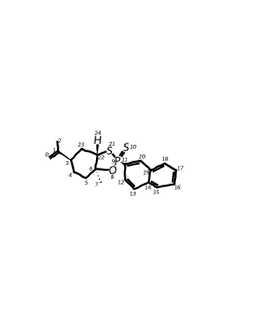 C=C(C)[C@@H]1CC[C@]2(C)O[P@](=S)(c3ccc4ccccc4c3)S[C@H]2C1